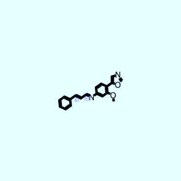 COc1cc(/N=C/C=C/c2ccccc2)ccc1-c1cnco1